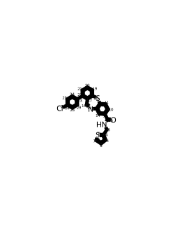 O=C(NCc1cccs1)c1ccc2c(c1)N=Cc1c(cccc1-c1ccc(Cl)cc1)S2